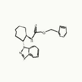 O=C(N[C@@H]1CCCC[C@H]1n1nnc2ccccc21)OCc1ccccc1